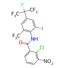 O=C(Nc1c(I)cc(C(F)(C(F)(F)F)C(F)(F)F)cc1C(F)(F)F)c1cccc([N+](=O)[O-])c1Cl